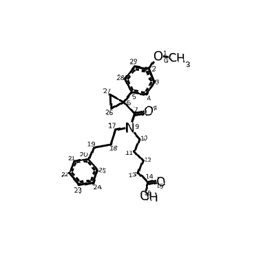 COc1ccc(C2(C(=O)N(CCCCC(=O)O)CCCc3ccccc3)CC2)cc1